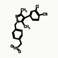 Cc1nn(Cc2ccc(C[SH](=O)=O)cc2)c(C)c1-c1ccc(C#N)c(Cl)c1